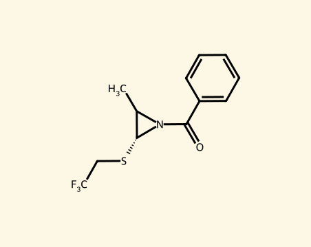 CC1[C@@H](SCC(F)(F)F)N1C(=O)c1ccccc1